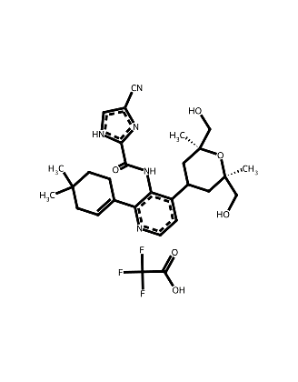 CC1(C)CC=C(c2nccc(C3C[C@](C)(CO)O[C@](C)(CO)C3)c2NC(=O)c2nc(C#N)c[nH]2)CC1.O=C(O)C(F)(F)F